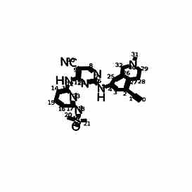 C#Cc1cc(Nc2ncc(C#N)c(Nc3cccc(N=S(C)(C)=O)n3)n2)cc2c1CCN(C)C2